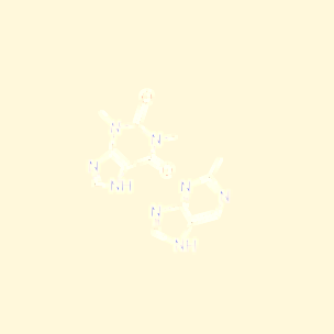 Cc1ncc2[nH]cnc2n1.Cn1c(=O)c2[nH]cnc2n(C)c1=O